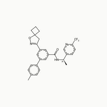 Cc1ccc(-c2cc(C(=O)N[C@H](C)c3ccc(C(F)(F)F)nc3)cc(C3=NOC4(CCC4)C3)c2)cc1